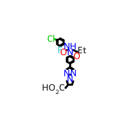 CCC1CN(C(=O)Nc2ccc(Cl)cc2F)c2ccc(-c3cnc(N4CCC(CC(=O)O)C4)nc3)cc2O1